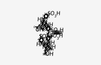 CC(O)CN(CC(C)O)c1nc(Nc2ccc(S(=O)(=O)O)cc2)nc(Nc2ccc(C=Cc3ccc(Nc4nc(Nc5ccc(S(=O)(=O)O)cc5)nc(N(CC(C)O)CC(C)O)n4)cc3S(=O)(=O)O)c(S(=O)(=O)O)c2)n1.[Na].[Na].[Na].[Na]